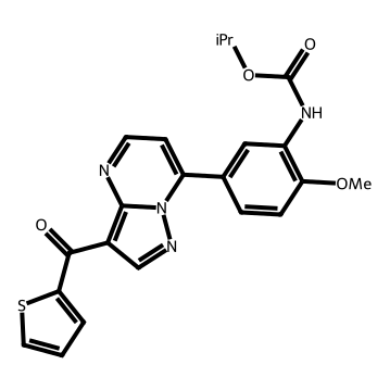 COc1ccc(-c2ccnc3c(C(=O)c4cccs4)cnn23)cc1NC(=O)OC(C)C